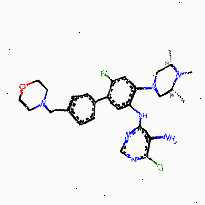 C[C@@H]1CN(c2cc(F)c(-c3ccc(CN4CCOCC4)cc3)cc2Nc2ncnc(Cl)c2N)C[C@H](C)N1C